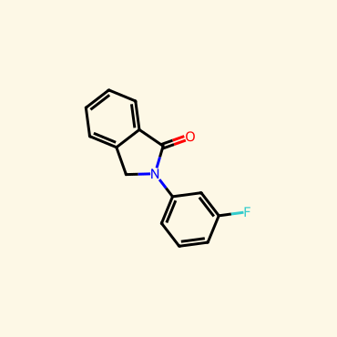 O=C1c2ccccc2CN1c1cccc(F)c1